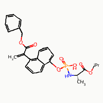 C=C(C(=O)OCc1ccccc1)c1cccc2c(OP(=O)(O)N[C@@H](C)C(=O)OC(C)C)cccc12